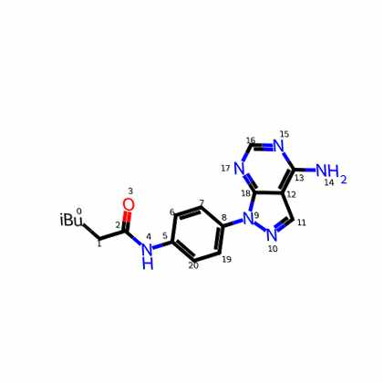 CCC(C)CC(=O)Nc1ccc(-n2ncc3c(N)ncnc32)cc1